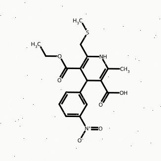 CCOC(=O)C1=C(CSC)NC(C)=C(C(=O)O)C1c1cccc([N+](=O)[O-])c1